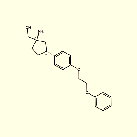 N[C@]1(CO)CC[C@@H](c2ccc(OCCOc3ccccc3)cc2)C1